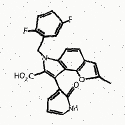 Cc1cc2ccc3c(c(-c4ccc[nH]c4=O)c(C(=O)O)n3Cc3cc(F)ccc3F)c2o1